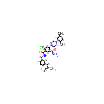 Cc1ccc(C)c(N2CCN(c3cc(Cl)c(C(=O)NCc4cccc(CN(C)C)c4)c[13c]3C(N)=O)CC2)c1